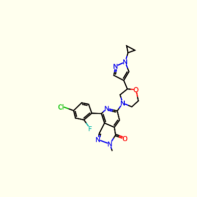 Cn1ncc2c(-c3ccc(Cl)cc3F)nc(N3CCOC(c4cnn(C5CC5)c4)C3)cc2c1=O